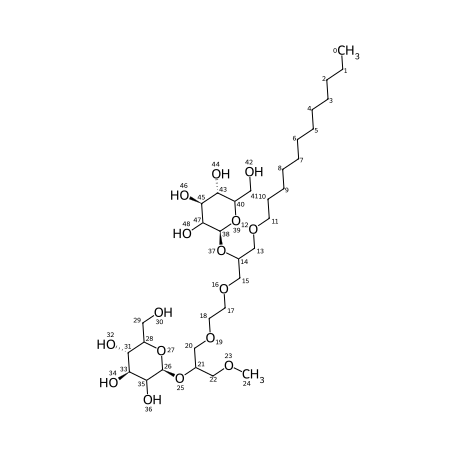 CCCCCCCCCCCCOCC(COCCOCC(COC)O[C@@H]1OC(CO)[C@@H](O)[C@H](O)C1O)O[C@@H]1OC(CO)[C@@H](O)[C@H](O)C1O